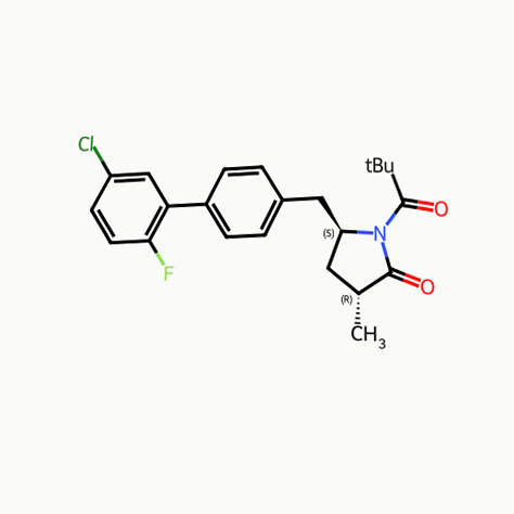 C[C@@H]1C[C@@H](Cc2ccc(-c3cc(Cl)ccc3F)cc2)N(C(=O)C(C)(C)C)C1=O